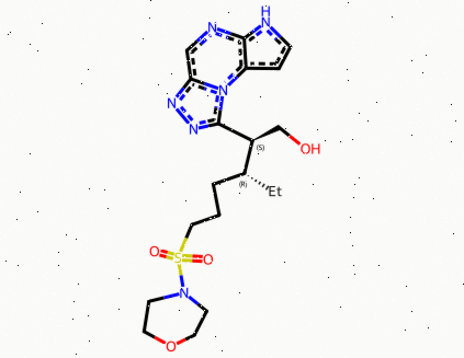 CC[C@H](CCCS(=O)(=O)N1CCOCC1)[C@H](CO)c1nnc2cnc3[nH]ccc3n12